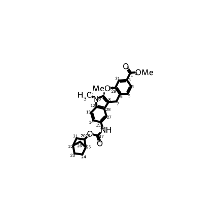 COC(=O)c1ccc(Cc2cn(C)c3ccc(NC(=O)OC4CC5CCC4C5)cc23)c(OC)c1